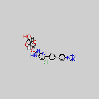 O[C@@H]1CO[C@H]2[C@@H]1OC[C@H]2Oc1nc2nc(-c3ccc(-c4ccc(-n5cnnc5)cc4)cc3)c(Cl)cc2[nH]1